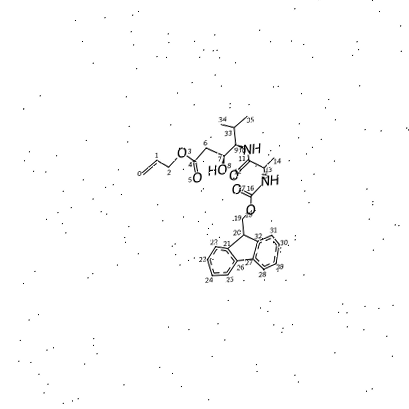 C=CCOC(=O)C[C@H](O)[C@H](NC(=O)C(C)NC(=O)OCC1c2ccccc2-c2ccccc21)C(C)C